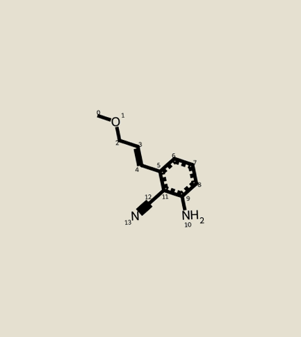 COC/C=C/c1cccc(N)c1C#N